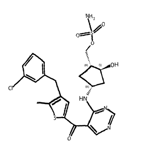 Cc1sc(C(=O)c2cncnc2N[C@@H]2C[C@H](COS(N)(=O)=O)[C@@H](O)C2)cc1Cc1cccc(Cl)c1